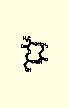 CC(O)C(=O)OCC(O)CO.CCCC(=O)O